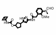 COc1c(CC(=O)Nc2cc(C3CCC(OC(=O)NC45CC4C5)C3)[nH]n2)cccc1N(C)C=O